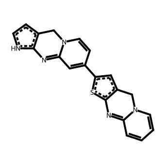 C1=CC2=Nc3sc(C4=CC5=Nc6[nH]ccc6CN5C=C4)cc3CN2C=C1